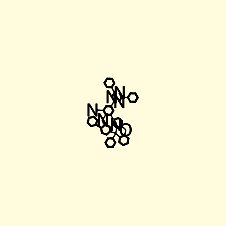 N#Cc1cc(-c2nc(-c3ccccc3)nc(-c3ccccc3)n2)cc(C#N)c1-n1c2ccccc2c2ccc(C3(c4ccccc4)c4ccccc4Oc4ccccc43)cc21